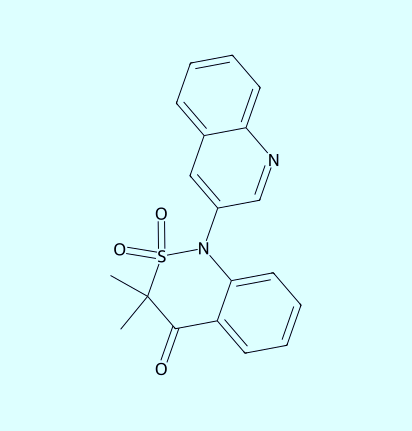 CC1(C)C(=O)c2ccccc2N(c2cnc3ccccc3c2)S1(=O)=O